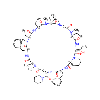 CC(C)C[C@@H]1NC(=O)[C@H](CC(C)C)N(C)C(=O)[C@H](Cc2ccccc2)NC(=O)[C@H](C)N(C)C(=O)C[C@@H](C(=O)N2CCCCC2)NC(=O)[C@H](Cc2ccccc2)NC(=O)[C@@H]2CCCCN2C(=O)[C@H]([C@@H](C)O)NC(=O)[C@H](CC(C)C)N(C)C(=O)CN2C[C@H](C)[C@@H](C2=O)N(C)C1=O